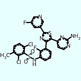 Cc1ccc(Cl)c(S(=O)(=O)Nc2cccc(-c3nc(-c4cncc(F)c4)sc3-c3ccnc(N)n3)c2F)c1Cl